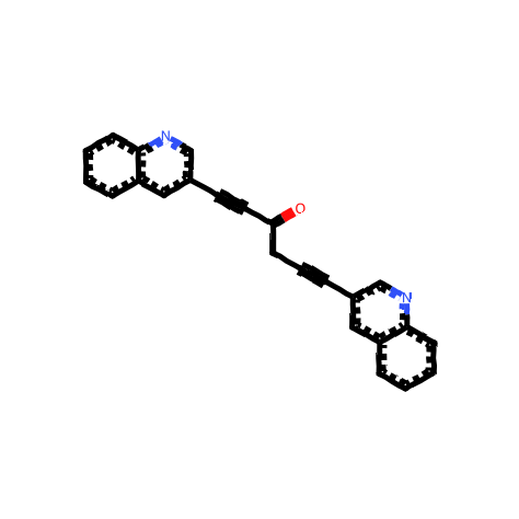 O=C(C#Cc1cnc2ccccc2c1)CC#Cc1cnc2ccccc2c1